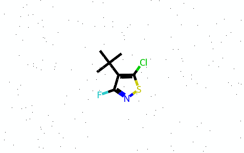 CC(C)(C)c1c(F)nsc1Cl